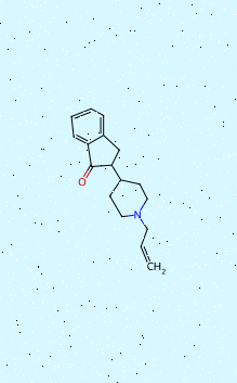 C=CCN1CCC(C2Cc3ccccc3C2=O)CC1